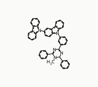 CN1C(c2ccccc2)=NC(c2cccc(-n3c4ccccc4c4cc(-n5c6ccccc6c6ccccc65)ccc43)c2)=NC1c1ccccc1